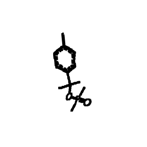 Cc1ccc(C(C)(C)OP(C)(C)=O)cc1